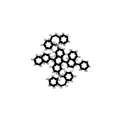 c1ccc(-c2ccc(-c3c4ccc(N5c6ccccc6CCc6ccccc65)cc4c(-c4ccc5ccccc5c4)c4ccc(N5c6ccccc6CCc6ccccc65)cc34)c3ccccc23)cc1